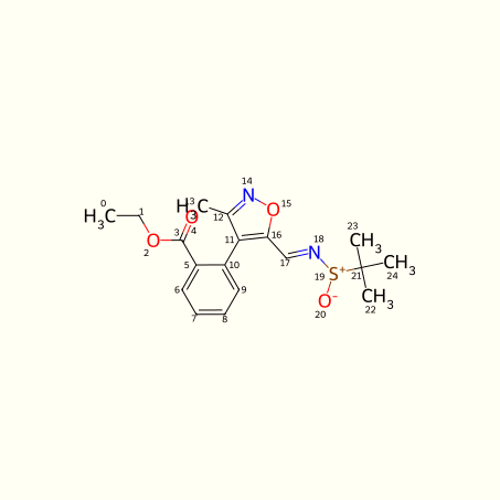 CCOC(=O)c1ccccc1-c1c(C)noc1C=N[S+]([O-])C(C)(C)C